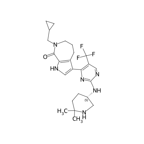 CC1(C)CC[C@H](Nc2ncc(C(F)(F)F)c(-c3c[nH]c4c3CCCN(CC3CC3)C4=O)n2)CN1